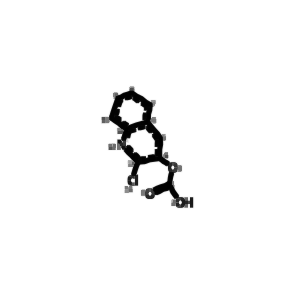 O=C(O)Oc1cc2ccccc2nc1Cl